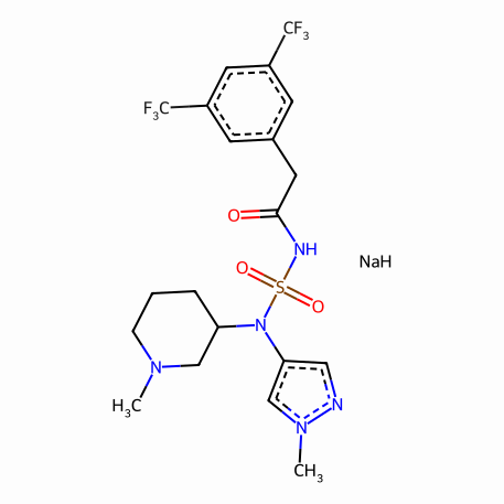 CN1CCCC(N(c2cnn(C)c2)S(=O)(=O)NC(=O)Cc2cc(C(F)(F)F)cc(C(F)(F)F)c2)C1.[NaH]